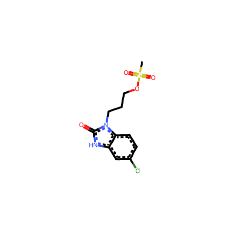 CS(=O)(=O)OCCCn1c(=O)[nH]c2cc(Cl)ccc21